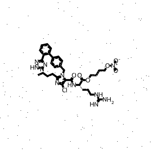 CCCCc1nc(Cl)c(C(=O)N[C@@H](CCCNC(=N)N)C(=O)OCCCCO[N+](=O)[O-])n1Cc1ccc(-c2ccccc2-c2nn[nH]n2)cc1